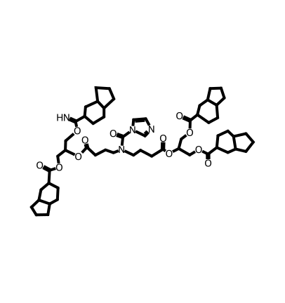 N=C(OCC(COC(=O)C1CCC2CCCC2C1)OC(=O)CCCN(CCCC(=O)OC(COC(=O)C1CCC2CCCC2C1)COC(=O)C1CCC2CCCC2C1)C(=O)n1ccnc1)C1CCC2CCCC2C1